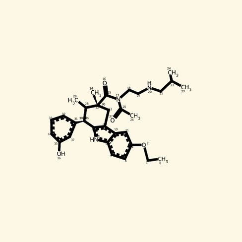 CCOc1ccc2[nH]c3c(c2c1)C[C@@](C)(C(=O)N(CCNCC(C)C)C(C)=O)C(C)[C@@H]3c1cccc(O)c1